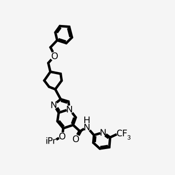 CC(C)Oc1cc2nc(C3CCC(COCc4ccccc4)CC3)cn2cc1C(=O)Nc1cccc(C(F)(F)F)n1